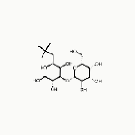 CC(C)(C)C[C@H](O)[C@@H](O)[C@@H](O[C@@H]1O[C@H](CO)[C@H](O)[C@H](O)[C@H]1O)[C@H](O)CO